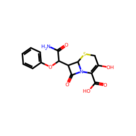 NC(=O)C(Oc1ccccc1)C1C(=O)N2C(C(=O)O)=C(O)CSC12